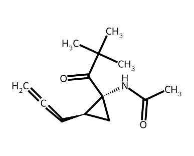 C=C=C[C@@H]1C[C@]1(NC(C)=O)C(=O)C(C)(C)C